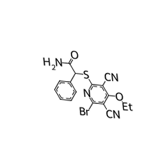 CCOc1c(C#N)c(Br)nc(SC(C(N)=O)c2ccccc2)c1C#N